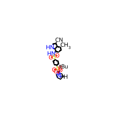 Cc1ccc(NS(=O)(=O)c2ccc(S(=O)(=O)N3CC4C[C@@H](C3)N4C(=O)OC(C)(C)C)cc2)c2[nH]cc(C#N)c12